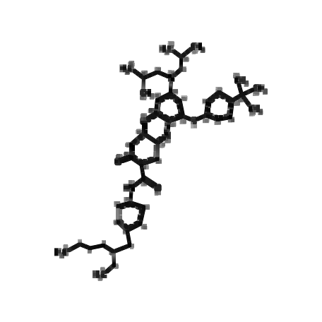 CCCCC(CC)Cc1ccc(NC(=O)c2cc3nc4c(Sc5ccc(C(C)(C)C)cc5)cc(N(CC(C)C)CC(C)C)cc4oc-3cc2=O)cc1